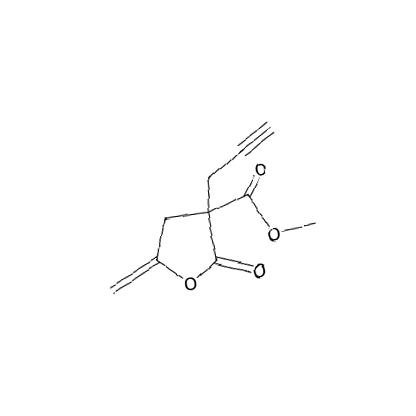 C#CCC1(C(=O)OC)CC(=C)OC1=O